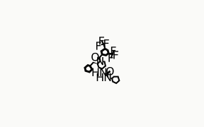 O=C(NC1CCCCC1)N[C@H]1CCN(C(=O)c2cc(C(F)(F)F)cc(C(F)(F)F)c2)[C@H](Cc2ccccc2)C1